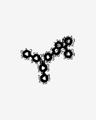 c1ccc(-c2ccc(N(c3ccc(-c4ccccc4)cc3)c3ccc(-c4ccc5c(ccc6c5c(-c5ccccc5)c5ccccn56)c4)cc3)cc2)cc1